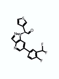 O=C[C@H](c1ccsc1)n1ncc2ncc(-c3ccc(F)c(C(F)F)c3)cc21